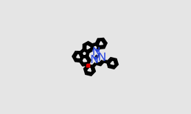 c1ccc(-c2cc(-c3ccccc3)nc(-n3c4ccccc4c4ccc5c(c43)-c3cccc4cccc-5c34)n2)cc1